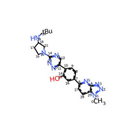 Cn1nnc2nc(-c3ccc(-c4cnc(N5CCC(NC(C)(C)C)C5)nn4)c(O)c3)ccc21